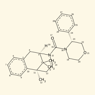 CC1(C)[C@H]2Cc3ccccc3[C@]1(C)CCN2C(=O)N1CCOC[C@H]1c1ccccc1